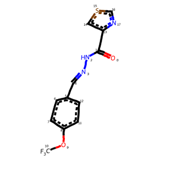 O=C(N/N=C/c1ccc(OC(F)(F)F)cc1)c1cscn1